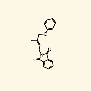 C/C(=C\CN1C(=O)c2ccccc2C1=O)COc1ccccc1